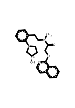 CN(CCc1ccccc1N1CC[C@H](O)C1)C(=O)COc1nccc2ccccc12